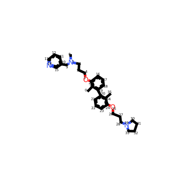 Cc1c(OCCCN(C)Cc2cccnc2)cccc1-c1cccc(OCCCN2CCCC2)c1C